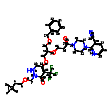 C[Si](C)(C)CCOCN1NCC(OCC(COCc2ccccc2)OCCC(=O)N2CCN(c3ncccc3C#N)CC2)=C(C(F)(F)F)C1=O